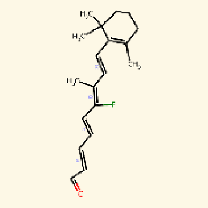 CC1=C(/C=C/C(C)=C(F)/C=C/C=C/C=O)C(C)(C)CCC1